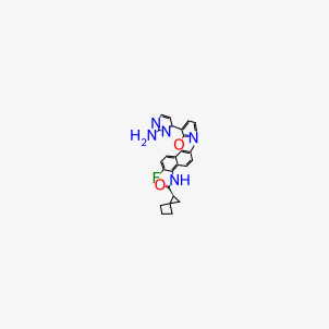 Cc1ccc2c(NC(=O)[C@H]3CC34CCC4)c(F)ccc2c1Oc1ncccc1-c1ccnc(N)n1